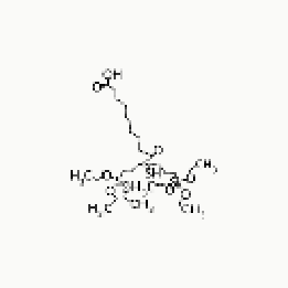 CCO[Si](CCCS(S)(CCC[Si](OCC)(OCC)OCC)C(=O)CCCCCCCCC(=O)O)(OCC)OCC